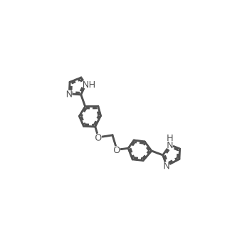 c1c[nH]c(-c2ccc(OCOc3ccc(-c4ncc[nH]4)cc3)cc2)n1